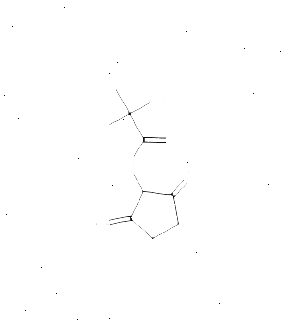 CCC(C)(CC)C(=O)OC1C(=O)CCC1=O